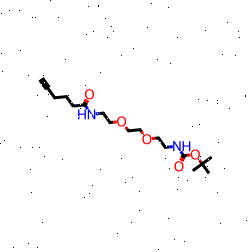 C#CCCCC(=O)NCCOCCOCCNC(=O)OC(C)(C)C